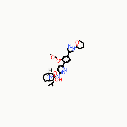 COCOc1cc(-c2cnn(C3CCCCO3)c2)ccc1-c1ccc(N(C)[C@H]2C[C@@H]3CCC[C@](C(C)(C)C)(C2)N3C(=O)O)nn1